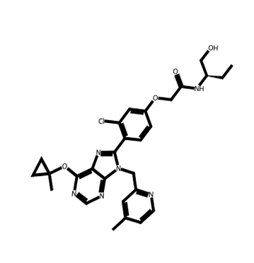 CC[C@H](CO)NC(=O)COc1ccc(-c2nc3c(OC4(C)CC4)ncnc3n2Cc2cc(C)ccn2)c(Cl)c1